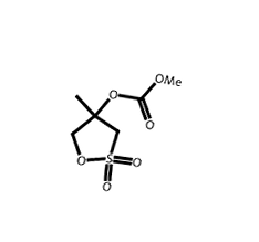 COC(=O)OC1(C)COS(=O)(=O)C1